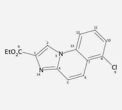 CCOC(=O)c1cn2c(ccc3c(Cl)cccc32)n1